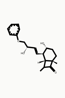 CC1C(=O)[C@@]2(C)CC[C@@H](O)[C@H](/C=C/[C@H](O)COc3ccccc3)[C@@H]12